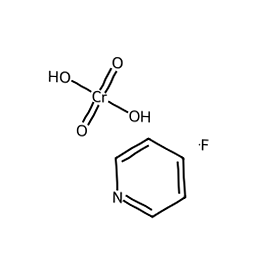 [F].[O]=[Cr](=[O])([OH])[OH].c1ccncc1